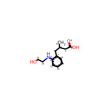 CC(CC(=O)O)Cc1ccccc1NCCO